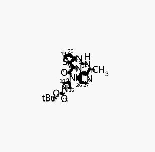 C[C@H](Nc1nc(C(=O)NC2CN(C(=O)OC(C)(C)C)C2)c2sccc2n1)c1ccccn1